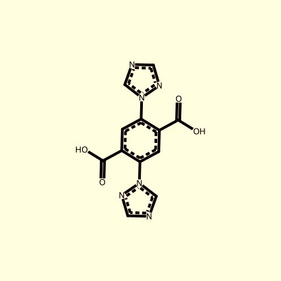 O=C(O)c1cc(-n2cncn2)c(C(=O)O)cc1-n1cncn1